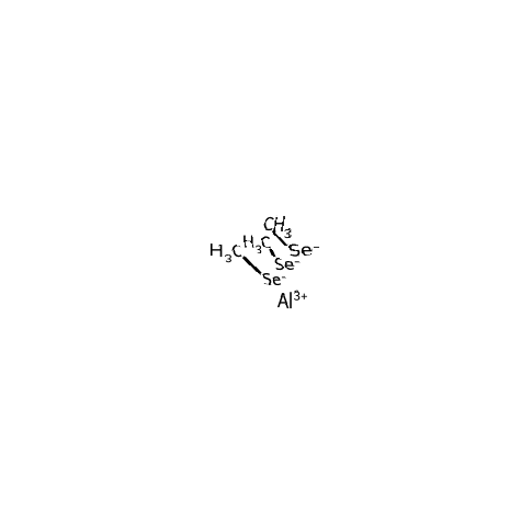 C[Se-].C[Se-].C[Se-].[Al+3]